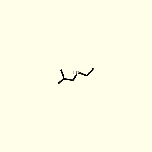 CCNC[C](C)C